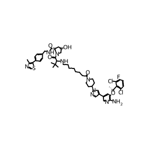 Cc1ncsc1-c1ccc(CNC(=O)[C@@H]2C[C@@H](O)CN2C(=O)C(NCCCCCCCC(=O)N2CCC(n3cc(-c4cnc(N)c(O[C@H](C)c5c(Cl)ccc(F)c5Cl)c4)cn3)CC2)C(C)(C)C)cc1